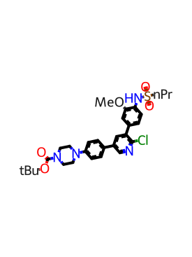 CCCS(=O)(=O)Nc1ccc(-c2cc(-c3ccc(N4CCN(C(=O)OC(C)(C)C)CC4)cc3)cnc2Cl)cc1OC